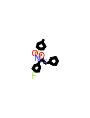 Cc1ccc(S(=O)(=O)/N=C(\C=C\c2ccccc2)c2ccc(F)cc2)cc1